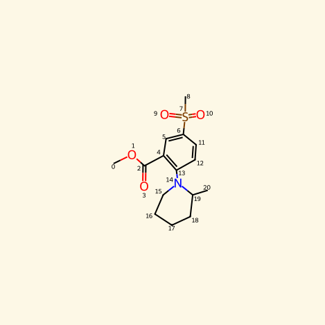 COC(=O)c1cc(S(C)(=O)=O)ccc1N1CCCCC1C